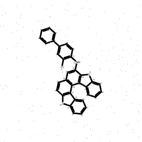 Clc1cc(-c2ccccc2)ccc1Nc1cc2ccc3sc4ccccc4c3c2c2c1sc1ccccc12